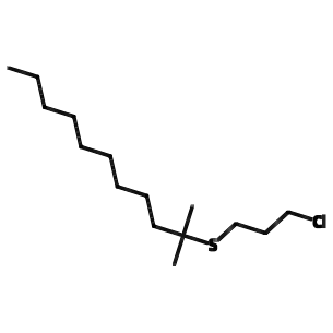 CCCCCCCCCC(C)(C)SCCCCl